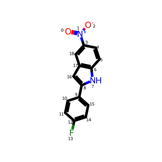 O=[N+]([O-])c1ccc2[nH]c(-c3ccc(F)cc3)cc2c1